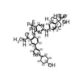 CCC(CC)(c1ccc(Nc2ncc(C(F)(F)F)c(Nc3ccc(-c4cnn([C@H]5CC[C@H](O)CC5)c4)cc3C(=O)NC)n2)cc1)P(=O)(O)O